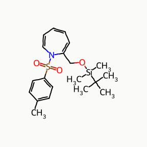 Cc1ccc(S(=O)(=O)N2C=CC=CC=C2CO[Si](C)(C)C(C)(C)C)cc1